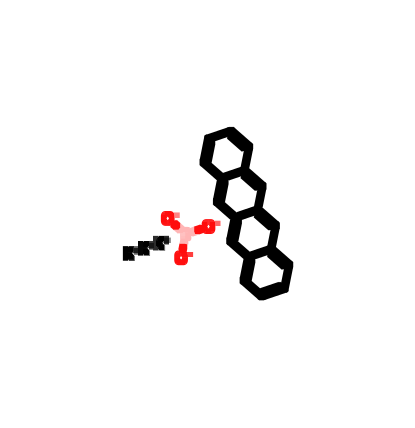 [K+].[K+].[K+].[O-]B([O-])[O-].c1ccc2cc3cc4ccccc4cc3cc2c1